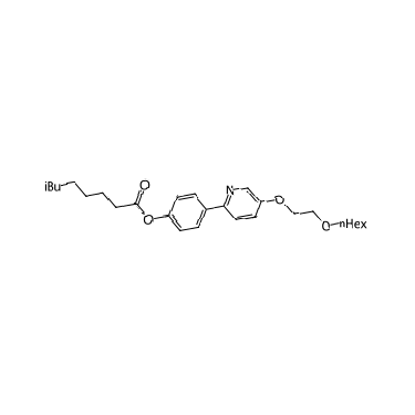 CCCCCCOCCOc1ccc(-c2ccc(OC(=O)CCCCC(C)CC)cc2)nc1